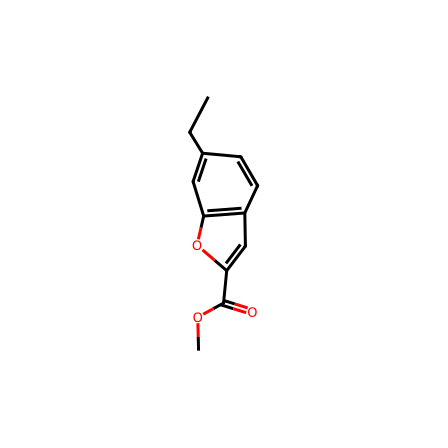 CCc1ccc2cc(C(=O)OC)oc2c1